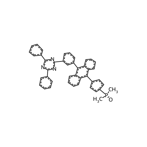 CP(C)(=O)c1ccc(-c2c3ccccc3c(-c3cccc(-c4nc(-c5ccccc5)nc(-c5ccccc5)n4)c3)c3ccccc23)cc1